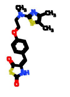 Cc1nc(N(C)CCOc2ccc(C=C3NC(=O)SC3=O)cc2)sc1C